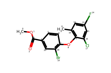 COC(=O)c1ccc(Oc2c(C)cc(F)cc2Cl)c(Br)c1